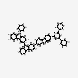 c1ccc(-c2nc(-c3ccccc3)nc(-c3ccc4c(c3)sc3cc(-c5ccc6c7ccccc7n(-c7ccc8c(c7)c7ccccc7n8-c7ccccc7)c6c5)ccc34)n2)cc1